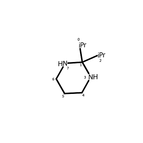 CC(C)C1(C(C)C)NCCCN1